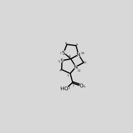 O=C(O)C1CSC23SCCN2CN13